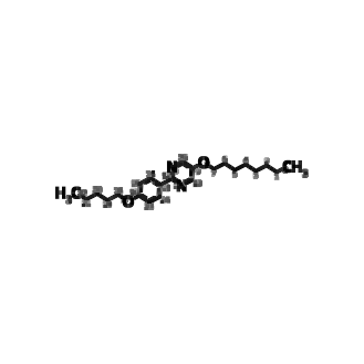 CCCCCCCCOc1cnc(-c2ccc(OCCCCC)cc2)nc1